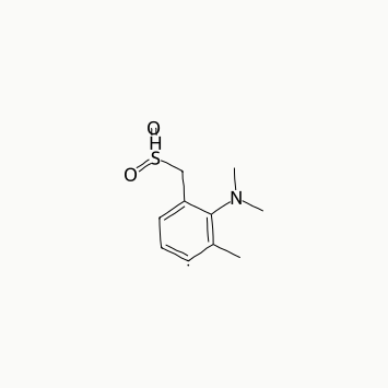 Cc1[c]ccc(C[SH](=O)=O)c1N(C)C